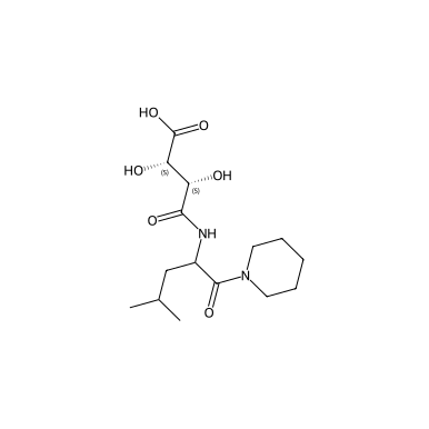 CC(C)CC(NC(=O)[C@@H](O)[C@H](O)C(=O)O)C(=O)N1CCCCC1